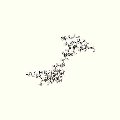 CC#C[C@]1(O)CCC2C3CCC4=CC(=O)CCC4=C3[C@@H](c3ccc(N(C)CCO[C@H]4CC[C@@]5(C)[C@@H](C4)C[C@@H](O)[C@@H]4[C@@H]5C[C@H](O)[C@]5(C)[C@@H]([C@H](C)CCC(=O)O)CC[C@@H]45)cc3)C[C@@]21C